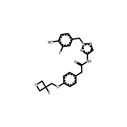 N#Cc1ccc(Cn2ncc(NC(=O)Cc3ccc(OCC4(F)COC4)cc3)n2)cc1F